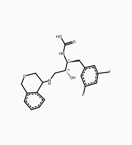 O=C(O)N[C@@H](Cc1cc(F)cc(F)c1)[C@H](O)CNC1COCc2ccccc21